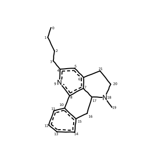 CCCCc1cc2c3c(n1)-c1ccccc1CC3N(C)CC2